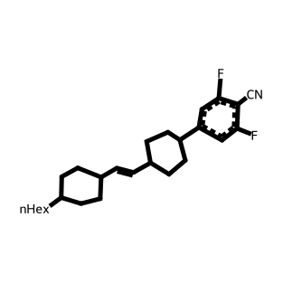 CCCCCCC1CCC(/C=C/C2CCC(c3cc(F)c(C#N)c(F)c3)CC2)CC1